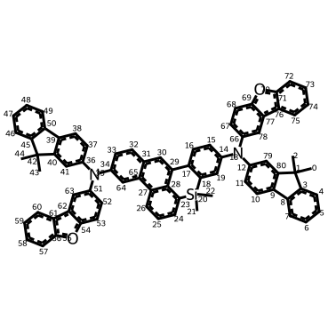 CC1(C)c2ccccc2-c2ccc(N(c3ccc4c(c3)[Si](C)(C)c3cccc5c3c-4cc3ccc(N(c4ccc6c(c4)C(C)(C)c4ccccc4-6)c4ccc6oc7ccccc7c6c4)cc35)c3ccc4oc5ccccc5c4c3)cc21